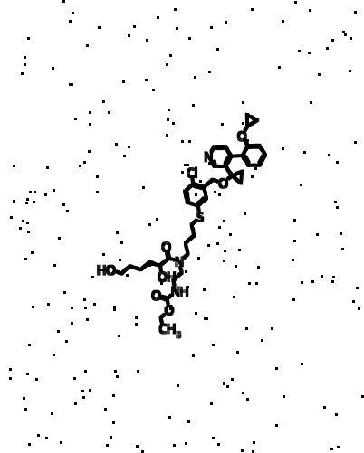 CCOC(=O)NCCN(CCCCSc1ccc(Cl)c(COC2(c3cnccc3-c3ccccc3OC3CC3)CC2)c1)C(=O)C(O)CCCCO